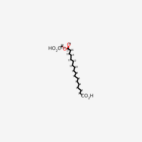 O=C(O)CCCCCCCCCCCCCCCCC(=O)OCC(=O)O